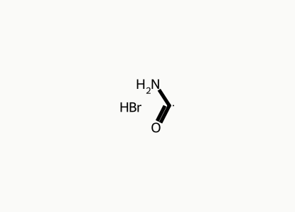 Br.N[C]=O